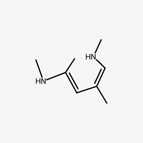 CN/C=C(C)\C=C(/C)NC